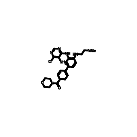 CNCCNc1ccc(-c2ccc(C(=O)N3CCOCC3)cc2)cc1Nc1ncnc(Cl)c1N